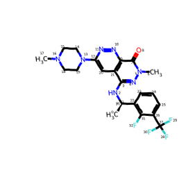 C[C@@H](Nc1nn(C)c(=O)c2nnc(N3CCN(C)CC3)cc12)c1cccc(C(F)(F)F)c1F